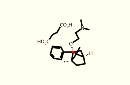 CN(C)CCO[C@]1(c2ccccc2)C[C@H]2CC[C@]1(C)C2(C)C.O=C(O)CCC(=O)O